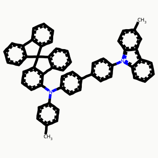 Cc1ccc(N(c2ccc(-c3ccc(-n4c5ccccc5c5cc(C)ccc54)cc3)cc2)c2cccc3c2-c2ccccc2C32c3ccccc3-c3ccccc32)cc1